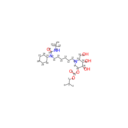 CC(C)COC(=O)OC1CN(CCCCCCN(C(=O)NC(C)(C)C)C2CCCCC2)C(CO)C(O)C1O